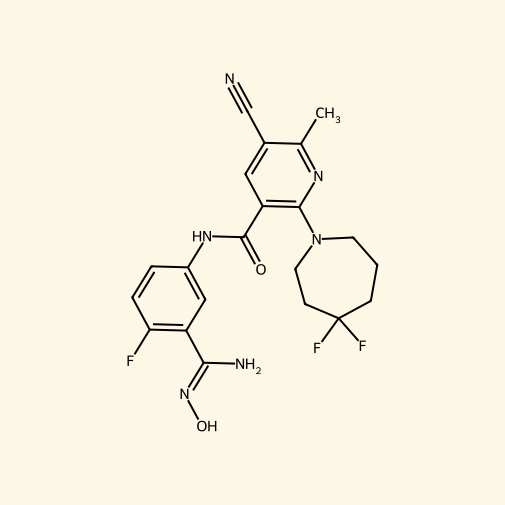 Cc1nc(N2CCCC(F)(F)CC2)c(C(=O)Nc2ccc(F)c(C(N)=NO)c2)cc1C#N